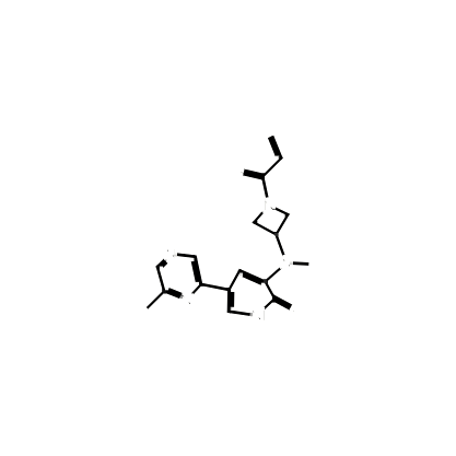 C=CC(=O)N1CC(N(C)c2cc(-c3cncc(C)n3)c[nH]c2=O)C1